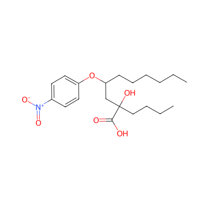 CCCCCCC(CC(O)(CCCC)C(=O)O)Oc1ccc([N+](=O)[O-])cc1